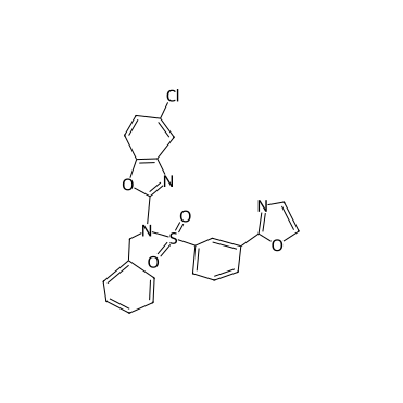 O=S(=O)(c1cccc(-c2ncco2)c1)N(Cc1ccccc1)c1nc2cc(Cl)ccc2o1